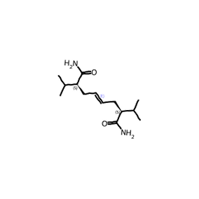 CC(C)[C@H](C/C=C/C[C@H](C(N)=O)C(C)C)C(N)=O